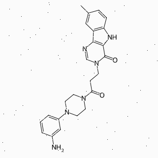 Cc1ccc2[nH]c3c(=O)n(CCC(=O)N4CCN(c5cccc(N)c5)CC4)cnc3c2c1